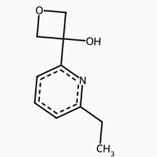 CCc1cccc(C2(O)COC2)n1